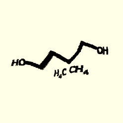 C.C.OCCCCO